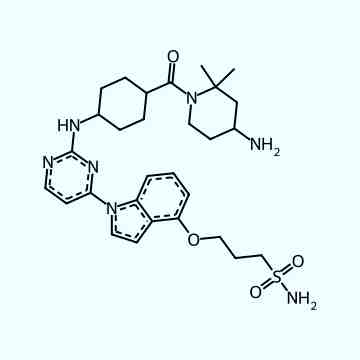 CC1(C)CC(N)CCN1C(=O)C1CCC(Nc2nccc(-n3ccc4c(OCCCS(N)(=O)=O)cccc43)n2)CC1